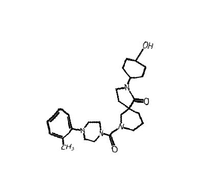 Cc1ccccc1N1CCN(C(=O)N2CCCC3(CCN(C4CCC(O)CC4)C3=O)C2)CC1